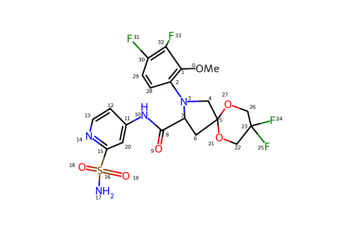 COc1c(N2CC3(CC2C(=O)Nc2ccnc(S(N)(=O)=O)c2)OCC(F)(F)CO3)ccc(F)c1F